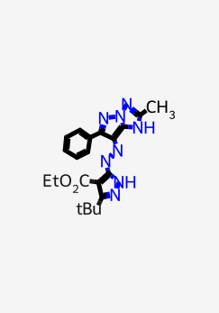 CCOC(=O)c1c(C(C)(C)C)n[nH]c1N=Nc1c(-c2ccccc2)nn2nc(C)[nH]c12